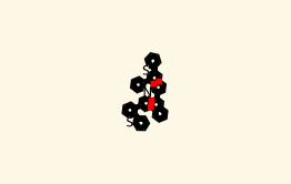 c1cc(-c2cccc3sc4ccccc4c23)cc(N(c2ccccc2-c2ccc3ccccc3c2)c2ccccc2-c2cccc3c2sc2ccccc23)c1